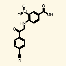 N#Cc1ccc(C(=O)CNc2ccc(C(=O)O)cc2[N+](=O)[O-])cc1